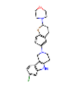 Fc1ccc2c3c([nH]c2c1)CCN(c1ccc2c(c1)CCC(N1CCOCC1)S2)C3